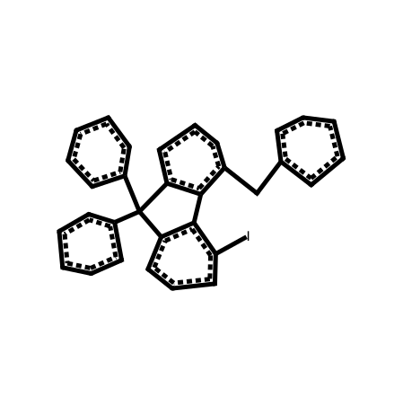 Ic1cccc2c1-c1c(Cc3ccccc3)cccc1C2(c1ccccc1)c1ccccc1